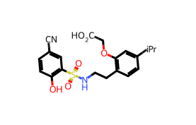 CC(C)c1ccc(CCNS(=O)(=O)c2cc(C#N)ccc2O)c(OCC(=O)O)c1